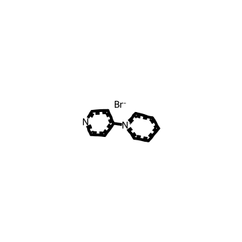 [Br-].c1cc[n+](-c2ccncc2)cc1